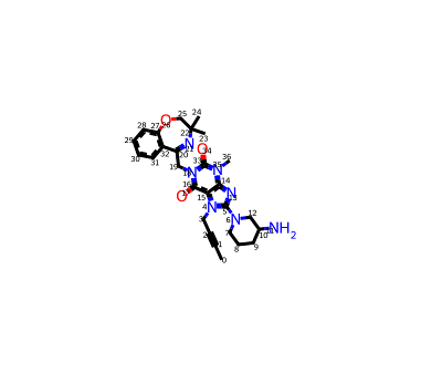 CC#CCn1c(N2CCCC(N)C2)nc2c1c(=O)n(CC1=NC(C)(C)COc3ccccc31)c(=O)n2C